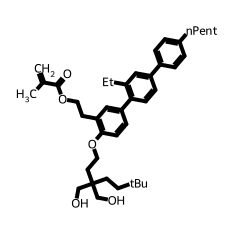 C=C(C)C(=O)OCCc1cc(-c2ccc(-c3ccc(CCCCC)cc3)cc2CC)ccc1OCCC(CO)(CO)CCC(C)(C)C